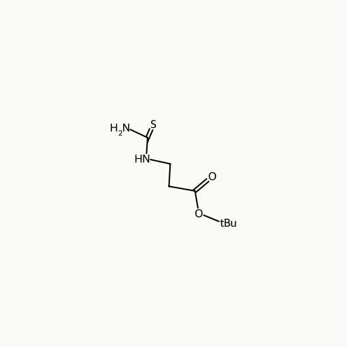 CC(C)(C)OC(=O)CCNC(N)=S